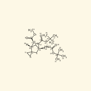 COC(=O)[C@@H]1[C@@H]2C[C@@H](CC23CC3)N1C(=O)[C@@H](NC(=O)OC(C)(C)C)C(C)(C)C